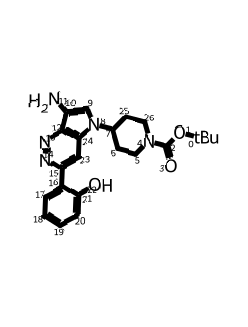 CC(C)(C)OC(=O)N1CCC(n2cc(N)c3nnc(-c4ccccc4O)cc32)CC1